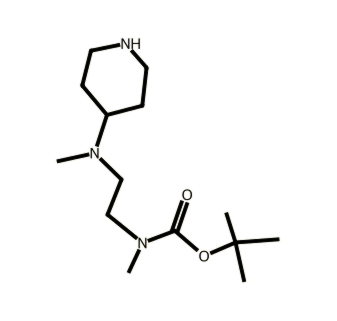 CN(CCN(C)C1CCNCC1)C(=O)OC(C)(C)C